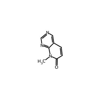 Cn1c(=O)ccc2cncnc21